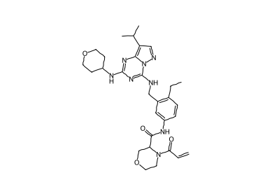 C=CC(=O)N1CCOCC1C(=O)Nc1ccc(CC)c(CNc2nc(NC3CCOCC3)nc3c(C(C)C)cnn23)c1